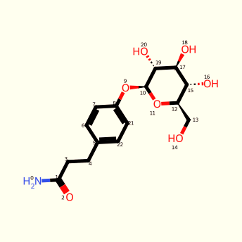 NC(=O)CCc1ccc(O[C@@H]2O[C@H](CO)[C@@H](O)[C@H](O)[C@H]2O)cc1